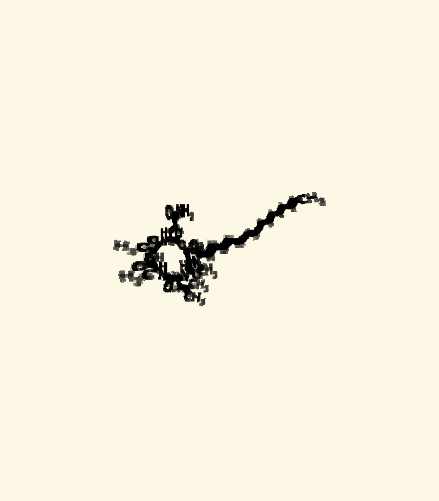 C/C=C/C=C/C=C/C=C/C=C/C=C/C=C/C(=O)N(C)[C@@H]1C(=O)N[C@@H](CC(C)C)C(=O)N[C@@H](C)C(=O)N[C@@H](C)C(=O)N[C@@H](CCC(N)=O)C(=O)O[C@@H]1C